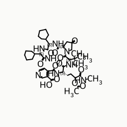 CNC(=O)C(CC[C@H](NC(=O)c1ccncc1C(=O)O)C(=O)N[C@H](C(=O)N1CC(=O)C[C@H]1C(=O)N[C@H](C(=O)N[C@H](C(N)=O)C1CCCCC1)C1CCCCC1)C(C)(C)C)OC(C)=O